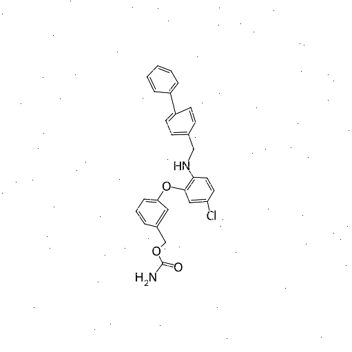 NC(=O)OCc1cccc(Oc2cc(Cl)ccc2NCc2ccc(-c3ccccc3)cc2)c1